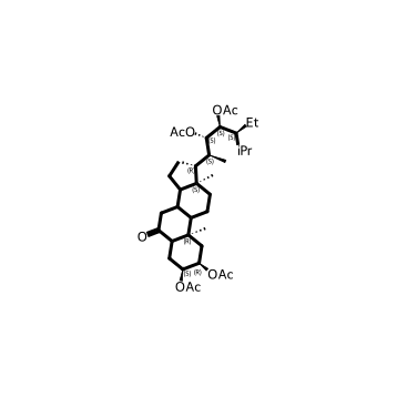 CC[C@@H](C(C)C)[C@H](OC(C)=O)[C@@H](OC(C)=O)[C@@H](C)[C@H]1CCC2C3CC(=O)C4C[C@H](OC(C)=O)[C@H](OC(C)=O)C[C@]4(C)C3CC[C@@]21C